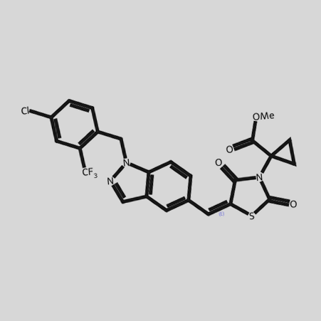 COC(=O)C1(N2C(=O)S/C(=C/c3ccc4c(cnn4Cc4ccc(Cl)cc4C(F)(F)F)c3)C2=O)CC1